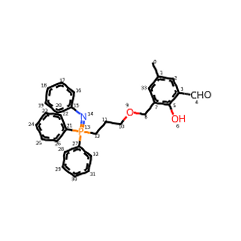 Cc1cc(C=O)c(O)c(COCCCP(=Nc2ccccc2)(c2ccccc2)c2ccccc2)c1